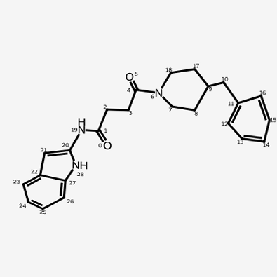 O=C(CCC(=O)N1CCC(Cc2ccccc2)CC1)Nc1cc2ccccc2[nH]1